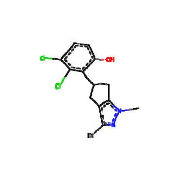 CCc1nn(C)c2c1CC(c1c(O)ccc(Cl)c1Cl)C2